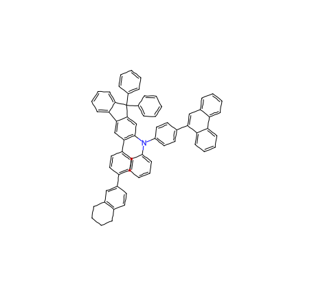 c1ccc(N(c2ccc(-c3cc4ccccc4c4ccccc34)cc2)c2cc3c(cc2-c2ccc(-c4ccc5c(c4)CCCC5)cc2)-c2ccccc2C3(c2ccccc2)c2ccccc2)cc1